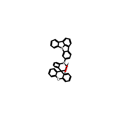 c1ccc2c(c1)Oc1ccccc1C21c2ccccc2N(c2ccc3c4cccc5c6ccccc6n(c3c2)c54)c2ccccc21